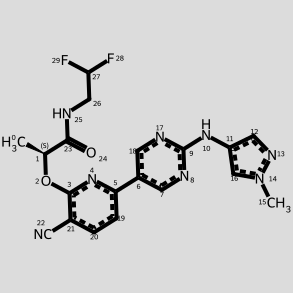 C[C@H](Oc1nc(-c2cnc(Nc3cnn(C)c3)nc2)ccc1C#N)C(=O)NCC(F)F